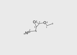 CCOC1OC1CC#N